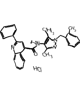 Cc1ccccc1Cn1nc(C)c(NC(=O)c2cc(-c3ccccc3)nc3ccccc23)c1C.Cl